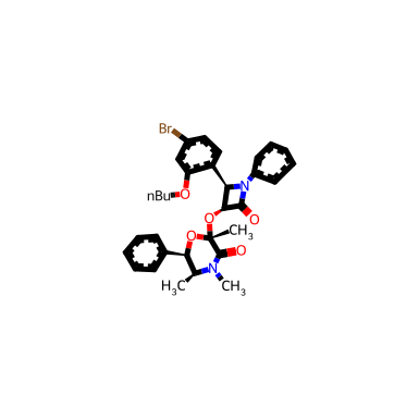 CCCCOc1cc(Br)ccc1[C@@H]1[C@H](O[C@@]2(C)O[C@H](c3ccccc3)[C@H](C)N(C)C2=O)C(=O)N1c1ccccc1